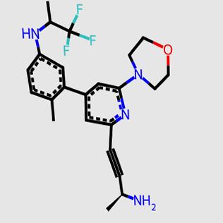 Cc1ccc(NC(C)C(F)(F)F)cc1-c1cc(C#C[C@H](C)N)nc(N2CCOCC2)c1